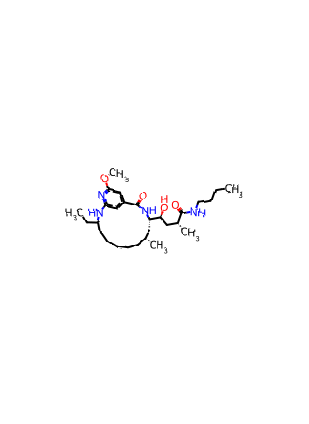 CCCCNC(=O)[C@H](C)C[C@H](O)[C@@H]1C[C@H](C)CCCCCC(CC)Nc2cc(cc(OC)n2)C(=O)N1